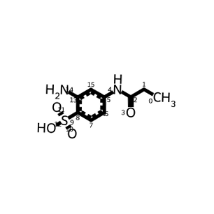 CCC(=O)Nc1[c]cc(S(=O)(=O)O)c(N)c1